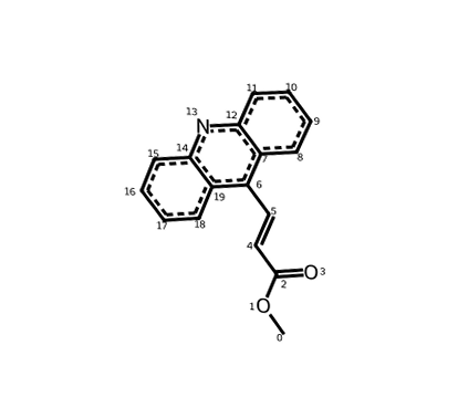 COC(=O)/C=C/c1c2ccccc2nc2ccccc12